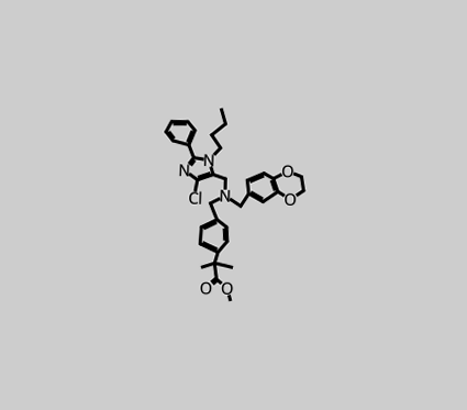 CCCCn1c(-c2ccccc2)nc(Cl)c1CN(Cc1ccc(C(C)(C)C(=O)OC)cc1)Cc1ccc2c(c1)OCCO2